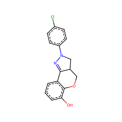 Oc1cccc2c1OCC1CN(c3ccc(Cl)cc3)N=C21